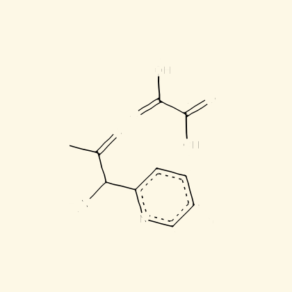 CC(=S)C(N)c1ccccn1.O=C(O)C(=O)O.[Pt]